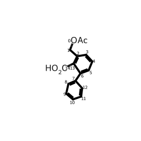 CC(=O)OCc1cccc(-c2ccccc2)c1C(=O)O